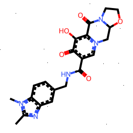 Cc1nc2cc(CNC(=O)c3cn4c(c(O)c3=O)C(=O)N3CCOC3C4)ccc2n1C